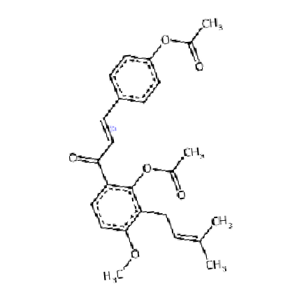 COc1ccc(C(=O)/C=C/c2ccc(OC(C)=O)cc2)c(OC(C)=O)c1CC=C(C)C